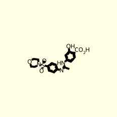 C/C(=N/c1ccc(S(=O)(=O)N2CCOCC2)cc1)Nc1ccc(C(=O)O)c(O)c1